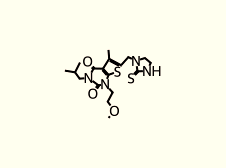 COCCn1c(=O)n(CC(C)C)c(=O)c2c(C)c(CN3CCNC3=S)sc21